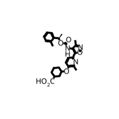 Cc1ccccc1[C@@H](C)OC(=O)Nc1c(C)noc1-c1ccc(OC2CCCC(C(=O)O)C2)c(C)n1